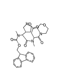 CN(C(=O)C(C1CCCC1)N(C)C(=O)OCC1c2ccccc2-c2ccccc21)C(CC(=O)O)C(=O)N1CCOCC1